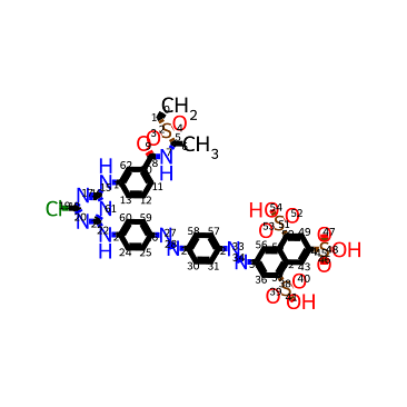 C=CS(=O)(=O)C(C)NC(=O)c1cccc(Nc2nc(Cl)nc(Nc3ccc(N=Nc4ccc(N=Nc5cc(S(=O)(=O)O)c6cc(S(=O)(=O)O)cc(S(=O)(=O)O)c6c5)cc4)cc3)n2)c1